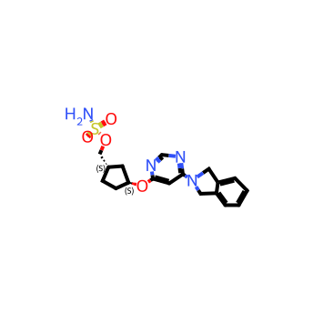 NS(=O)(=O)OC[C@H]1CC[C@H](Oc2cc(N3Cc4ccccc4C3)ncn2)C1